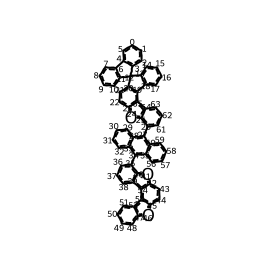 c1ccc2c(c1)-c1ccccc1C21c2ccccc2-c2c1ccc1oc3c(-c4c5ccccc5c(-c5cccc6c5oc5ccc7oc8ccccc8c7c56)c5ccccc45)cccc3c21